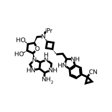 CC(C)N(C[C@H]1O[C@@H](N2CNC3C(N)NCNC32)[C@H](O)[C@@H]1O)[C@H]1C[C@@H](CCC2Nc3ccc(C4(C#N)CC4)cc3N2)C1